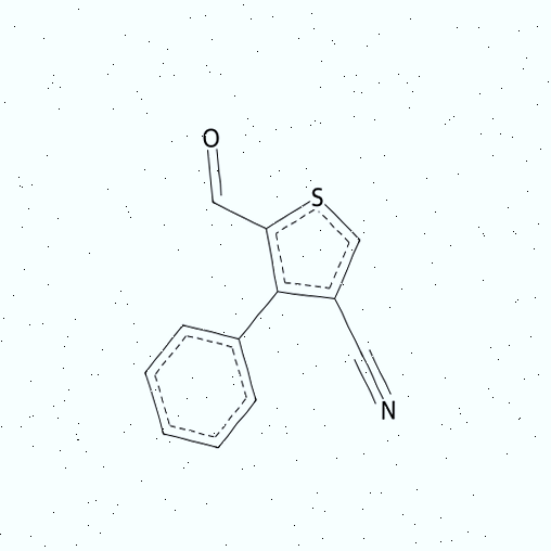 N#Cc1csc(C=O)c1-c1ccccc1